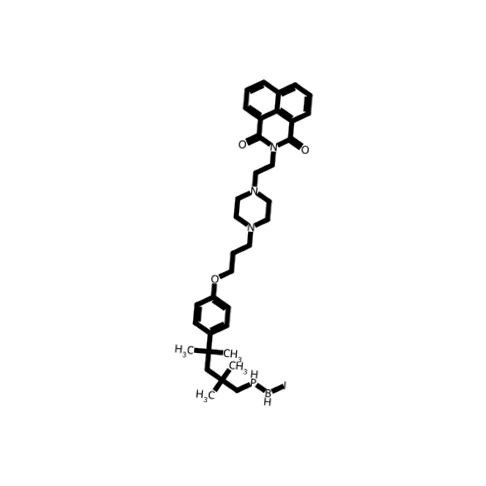 CC(C)(CPBI)CC(C)(C)c1ccc(OCCCN2CCN(CCN3C(=O)c4cccc5cccc(c45)C3=O)CC2)cc1